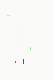 CCCC.PCl